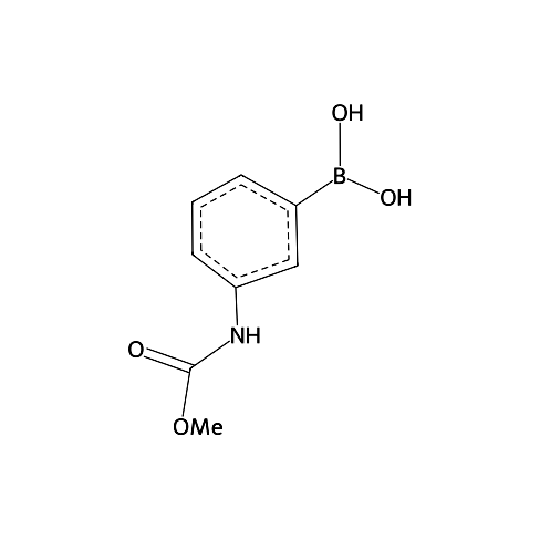 COC(=O)Nc1cccc(B(O)O)c1